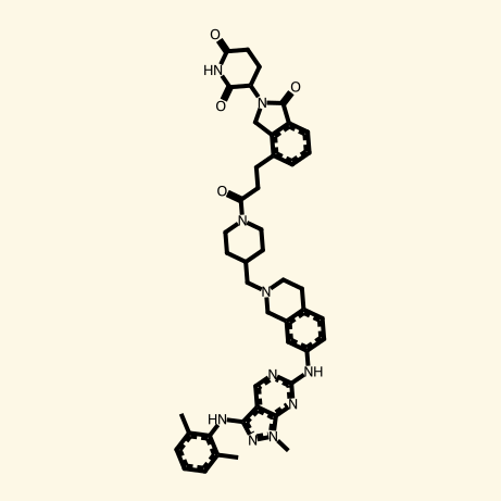 Cc1cccc(C)c1Nc1nn(C)c2nc(Nc3ccc4c(c3)CN(CC3CCN(C(=O)CCc5cccc6c5CN(C5CCC(=O)NC5=O)C6=O)CC3)CC4)ncc12